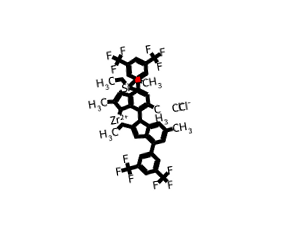 CCC1=Cc2c(-c3cc(C(F)(F)F)cc(C(F)(F)F)c3)cc(C)cc2C1c1c(C)c2c(-c3cc(C(F)(F)F)cc(C(F)(F)F)c3)c3c1[CH]([Zr+2])C(C)=C3[Si]2(CC)CC.[Cl-].[Cl-]